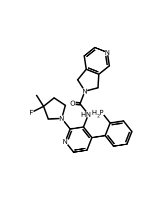 CC1(F)CCN(c2nccc(-c3ccccc3P)c2NC(=O)N2Cc3ccncc3C2)C1